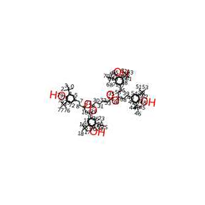 CC(C)(C)c1cc(CCC(CCc2cc(C(C)(C)C)c(O)c(C(C)(C)C)c2)OC(=O)CCCCC(=O)OC(CCc2cc(C(C)(C)C)c(O)c(C(C)(C)C)c2)CCc2cc(C(C)(C)C)c(O)c(C(C)(C)C)c2)cc(C(C)(C)C)c1O